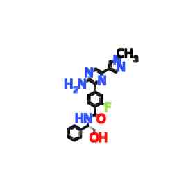 Cn1cc(-c2cnc(N)c(-c3ccc(C(=O)N[C@H](CO)c4ccccc4)c(F)c3)n2)cn1